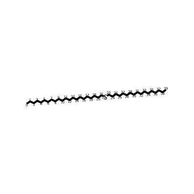 CCCCCCCCCCCCCCCCCCCCCCSCCCCCCCCCCCCCCCCC